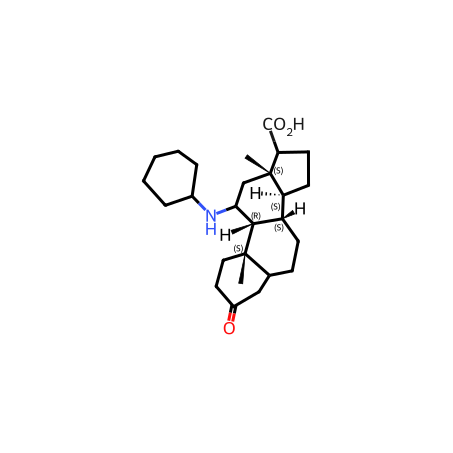 C[C@]12CCC(=O)CC1CC[C@@H]1[C@H]2C(NC2CCCCC2)C[C@]2(C)C(C(=O)O)CC[C@@H]12